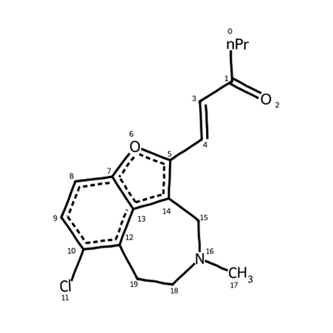 CCCC(=O)C=Cc1oc2ccc(Cl)c3c2c1CN(C)CC3